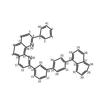 c1ccc(-c2ccc3ccc4ccc(-c5cccc(-c6ccc(-c7cccc8ccccc78)cc6)c5)nc4c3n2)cc1